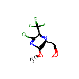 COc1nc(Cl)c(C(F)(F)F)nc1C=O